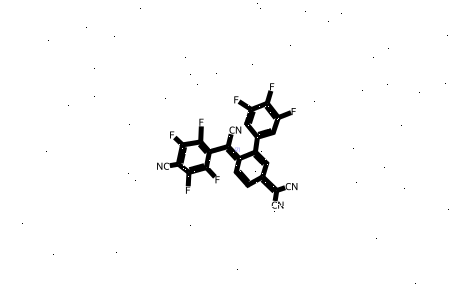 N#CC(C#N)=c1cc/c(=C(/C#N)c2c(F)c(F)c(C#N)c(F)c2F)c(-c2cc(F)c(F)c(F)c2)c1